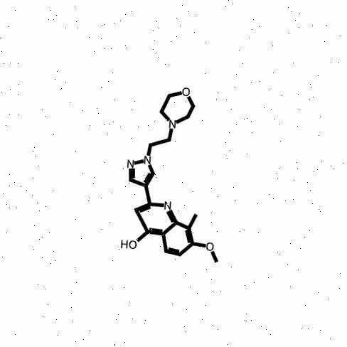 COc1ccc2c(O)cc(-c3cnn(CCN4CCOCC4)c3)nc2c1C